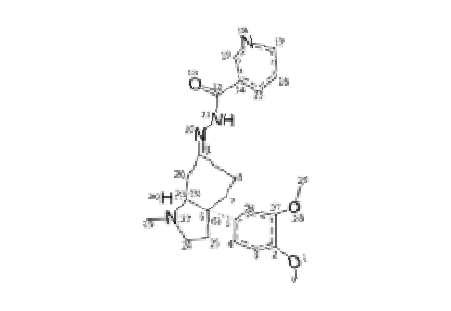 COc1ccc([C@@]23CCC(=NNC(=O)c4cccnc4)C[C@@H]2N(C)CC3)cc1OC